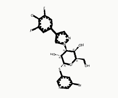 OC[C@H]1O[C@H](Sc2cncc(Br)c2)[C@H](O)[C@@H](n2cc(-c3cc(F)c(Cl)c(F)c3)cn2)[C@H]1O